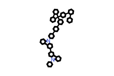 c1ccc(-c2ccccc2-c2ccc(C3(c4cccc(-c5ccc(-c6ccc(-n7c8ccccc8c8cc(-c9ccc%10c(c9)c9ccccc9n%10-c9ccccc9)ccc87)cc6)cc5)c4)c4ccccc4-c4ccccc43)cc2)cc1